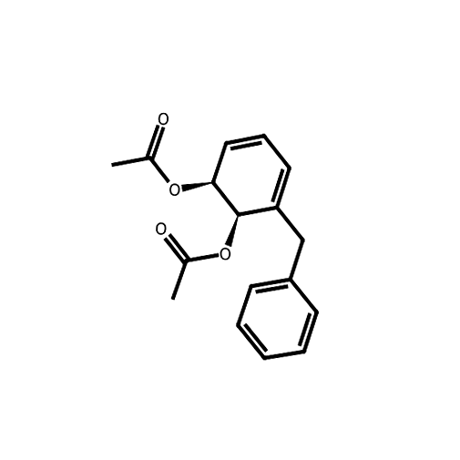 CC(=O)O[C@H]1C=CC=C(Cc2ccccc2)[C@H]1OC(C)=O